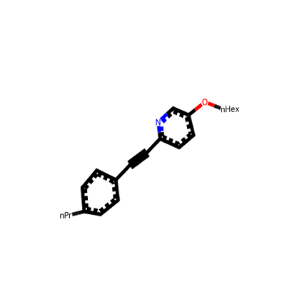 CCCCCCOc1ccc(C#Cc2ccc(CCC)cc2)nc1